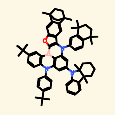 CC(C)(C)c1ccc(N2c3ccc(C(C)(C)C)cc3B3c4oc5cc6c(cc5c4N(c4ccc5c(c4)C(C)(C)CCC5(C)C)c4cc(N5c7ccccc7C7(C)CCCCC57C)cc2c43)C2(C)CCC6(C)CC2)cc1